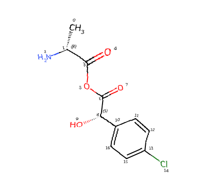 C[C@@H](N)C(=O)OC(=O)[C@@H](O)c1ccc(Cl)cc1